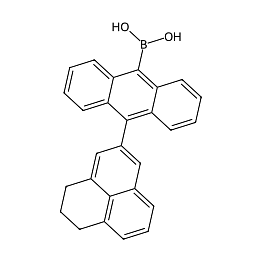 OB(O)c1c2ccccc2c(-c2cc3c4c(cccc4c2)CCC3)c2ccccc12